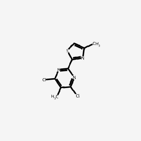 Cc1csc(-c2nc(Cl)c(C)c(Cl)n2)n1